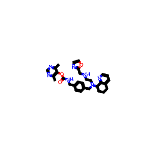 Cc1ncnc(C)c1OC(=O)NCc1ccc(CN(CCNCc2ncco2)C2CCCc3cccnc32)cc1